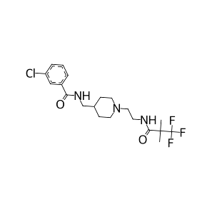 CC(C)(C(=O)NCCN1CCC(CNC(=O)c2cccc(Cl)c2)CC1)C(F)(F)F